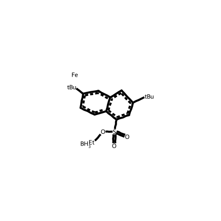 B.CCOS(=O)(=O)c1cc(C(C)(C)C)cc2cc(C(C)(C)C)ccc12.[Fe]